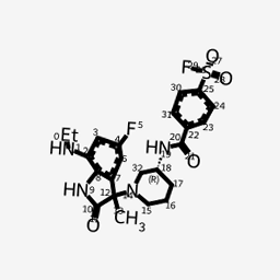 CCNc1cc(F)cc2c1NC(=O)C2(C)N1CCC[C@@H](NC(=O)c2ccc(S(=O)(=O)F)cc2)C1